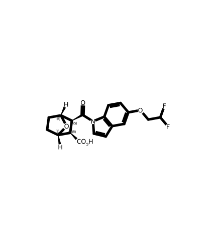 O=C(O)[C@@H]1[C@H](C(=O)n2ccc3cc(OCC(F)F)ccc32)[C@H]2CC[C@@H]1O2